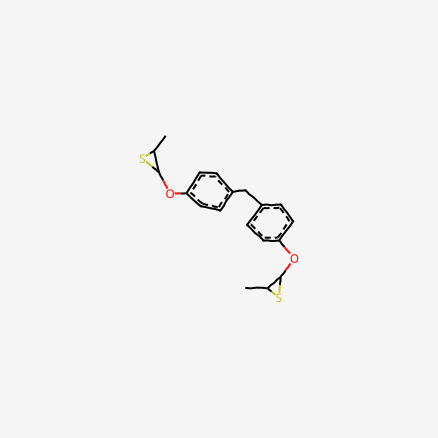 CC1SC1Oc1ccc(Cc2ccc(OC3SC3C)cc2)cc1